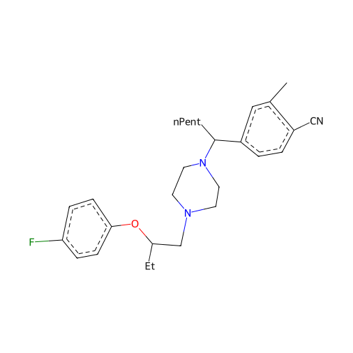 CCCCCC(c1ccc(C#N)c(C)c1)N1CCN(CC(CC)Oc2ccc(F)cc2)CC1